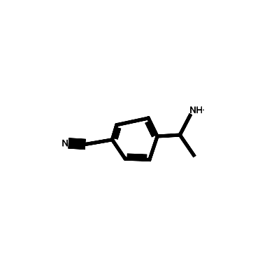 CC([NH])c1ccc(C#N)cc1